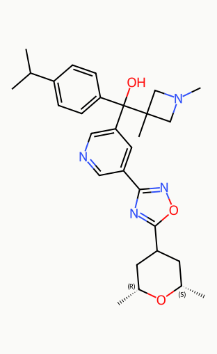 CC(C)c1ccc(C(O)(c2cncc(-c3noc(C4C[C@@H](C)O[C@@H](C)C4)n3)c2)C2(C)CN(C)C2)cc1